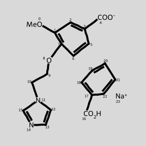 COc1cc(C(=O)[O-])ccc1OCCn1ccnc1.O=C(O)c1ccccc1.[Na+]